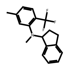 Cc1[c]cc(C(F)(F)F)c(N(C)C2CCc3ccccc32)c1